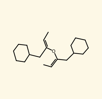 C/C=C(/CC1CCCCC1)O/C(=C\C)CC1CCCCC1